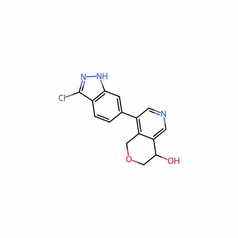 OC1COCc2c(-c3ccc4c(Cl)n[nH]c4c3)cncc21